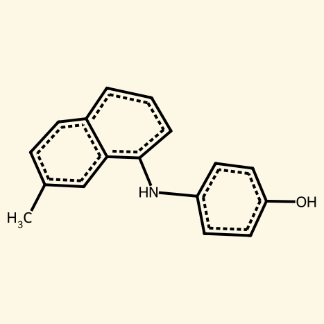 Cc1ccc2cccc(Nc3ccc(O)cc3)c2c1